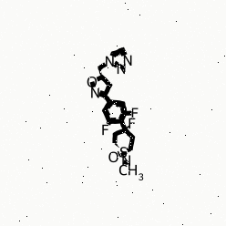 CN=[S@]1(=O)CC[C@@](F)(c2c(F)cc(C3=NO[C@@H](Cn4ccnn4)C3)cc2F)CC1